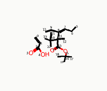 C=CC(=O)O.CCC=C(CC)C(C)(C(=O)OC(C)(C)C)C(C)(C)C